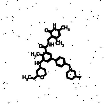 CCC1CC(Nc2cc(-c3ccc(CN4CCCC(F)C4)cc3)cc(C(=O)NCc3c(C)cc(C)[nH]c3=O)c2C)CCO1